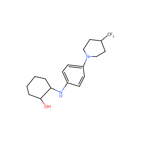 OC1CCCCC1Nc1ccc(N2CCC(C(F)(F)F)CC2)cc1